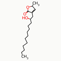 CCCCCCCCCCC[C@@H](O)CC1=C[C@H](C)OC1=O